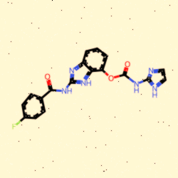 O=C(Nc1ncc[nH]1)Oc1cccc2nc(NC(=O)c3ccc(F)cc3)[nH]c12